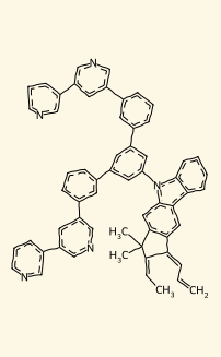 C=C/C=C1\C(=C/C)C(C)(C)c2cc3c(cc21)c1ccccc1n3-c1cc(-c2cccc(-c3cncc(-c4cccnc4)c3)c2)cc(-c2cccc(-c3cncc(-c4cccnc4)c3)c2)c1